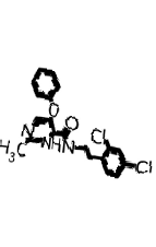 Cc1ncc(Oc2ccccc2)c(C(=O)NCCc2ccc(Cl)cc2Cl)n1